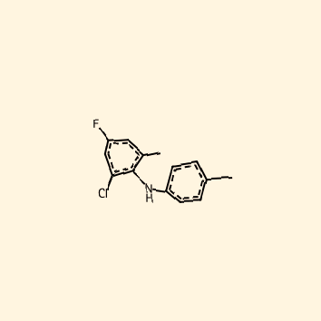 Cc1ccc(Nc2c(C)cc(F)cc2Cl)cc1